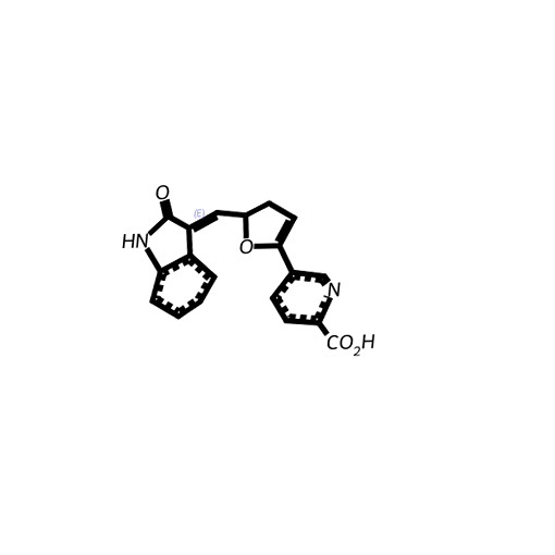 O=C1Nc2ccccc2/C1=C\C1CC=C(c2ccc(C(=O)O)nc2)O1